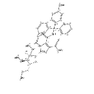 CCCCOC[C@H]1O[C@@H](c2cc(C(=O)OC)c3c(NC(c4ccccc4)(c4ccccc4)c4ccc(OC)cc4)ncnn23)[C@](C)(OCCCC)[C@@H]1OCCCC